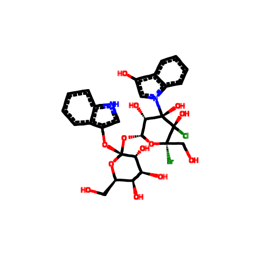 OC[C@H]1O[C@](Oc2c[nH]c3ccccc23)(O[C@H]2O[C@](Br)(CO)[C@@](O)(Cl)[C@@](O)(n3cc(O)c4ccccc43)[C@H]2O)[C@H](O)[C@@H](O)[C@H]1O